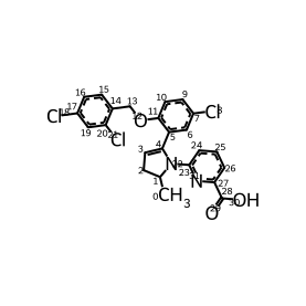 CC1CC=C(c2cc(Cl)ccc2OCc2ccc(Cl)cc2Cl)N1c1cccc(C(=O)O)n1